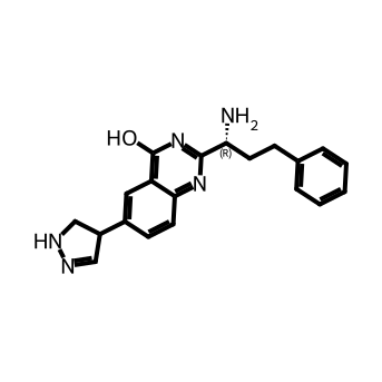 N[C@H](CCc1ccccc1)c1nc(O)c2cc(C3C=NNC3)ccc2n1